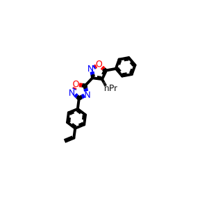 C=Cc1ccc(-c2noc(-c3noc(-c4ccccc4)c3CCC)n2)cc1